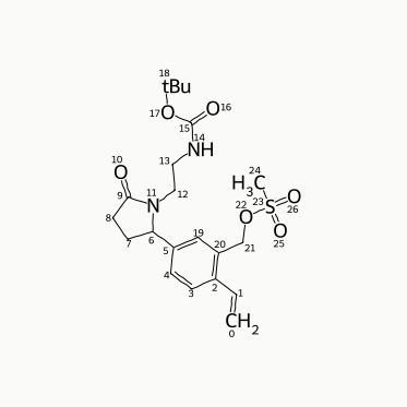 C=Cc1ccc(C2CCC(=O)N2CCNC(=O)OC(C)(C)C)cc1COS(C)(=O)=O